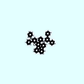 c1ccc(-c2cc(-c3ccccc3)cc(N(c3ccccc3)c3ccc4c(c3)C3(c5ccccc5-4)c4ccccc4-c4c3ccc3c4oc4c3ccc3c4c4ccccc4n3-c3ccccc3)c2)cc1